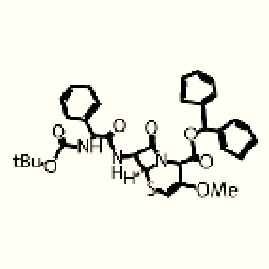 COC1=CS[C@H]2C(NC(=O)C(NC(=O)OC(C)(C)C)C3=CCC=CC3)C(=O)N2C1C(=O)OC(c1ccccc1)c1ccccc1